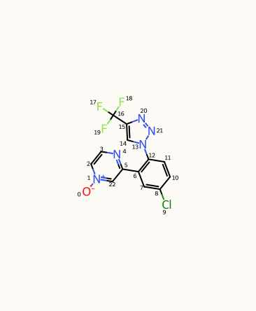 [O-][n+]1ccnc(-c2cc(Cl)ccc2-n2cc(C(F)(F)F)nn2)c1